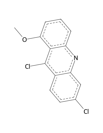 COc1cccc2nc3cc(Cl)ccc3c(Cl)c12